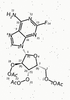 CC(=O)OOC[C@H]1O[C@@H](n2cnc3c(N)nc(F)nc32)[C@H](OOC(C)=O)[C@H]1OOC(C)=O